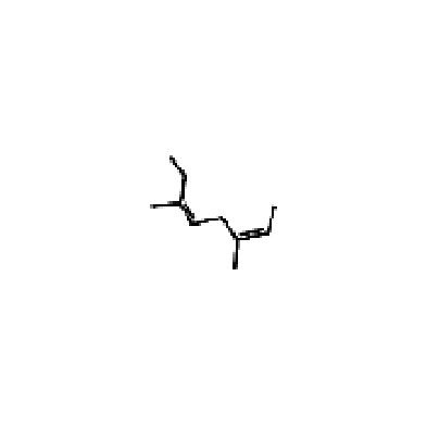 CC=C(C)CC=C(C)CC